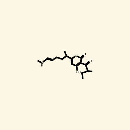 CCC(C)C(=O)c1c(O)cc(C(C)CC/C=C/NC)oc1=O